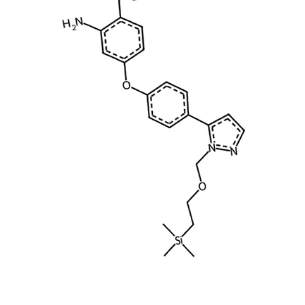 C[Si](C)(C)CCOCn1nccc1-c1ccc(Oc2ccc(N)c(N)c2)cc1